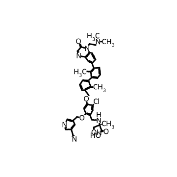 Cc1c(COc2cc(OCc3cncc(C#N)c3)c(CN[C@@](C)(CO)C(=O)O)cc2Cl)cccc1-c1cccc(-c2ccc3c(c2)ncc(=O)n3CCN(C)C)c1C